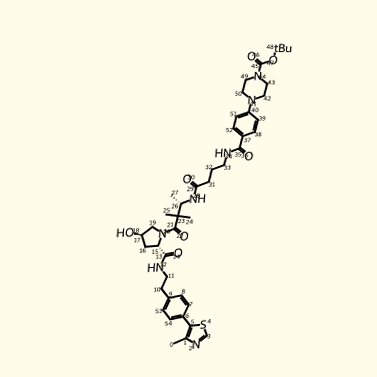 Cc1ncsc1-c1ccc(CCNC(=O)[C@@H]2C[C@@H](O)CN2C(=O)C(C)(C)[C@H](C)NC(=O)CCCNC(=O)c2ccc(N3CCN(C(=O)OC(C)(C)C)CC3)cc2)cc1